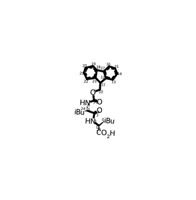 CC[C@H](C)[C@H](NC(=O)[C@@H](NC(=O)OCC1c2ccccc2-c2ccccc21)[C@@H](C)CC)C(=O)O